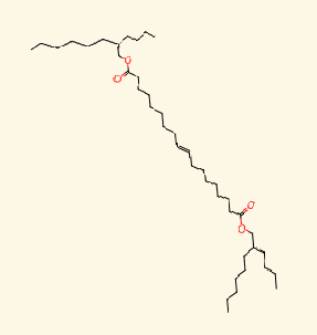 CCCCCCC(CCCC)COC(=O)CCCCCCCC=CCCCCCCCC(=O)OCC(CCCC)CCCCCC